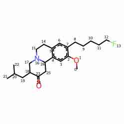 COc1cc2c(cc1CCCCCF)CCN1CC(CC(C)C)C(=O)CC21